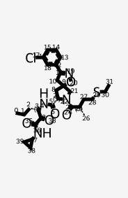 CCC[C@H](NC(=O)[C@@H]1CC2(CC(c3cccc(Cl)c3)=NO2)CN1C(=O)[C@@H](C)CCSCC)C(=O)C(=O)NC1CC1